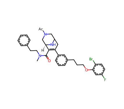 CC(=O)N1CC2CC(c3cccc(CCCOc4cc(F)ccc4Br)c3)=C(C(=O)N(C)CCc3ccccc3)[C@@H](C1)N2